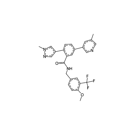 COc1ccc(CNC(=O)c2cc(-c3cncc(C)c3)ccc2-c2cnn(C)c2)cc1C(F)(F)F